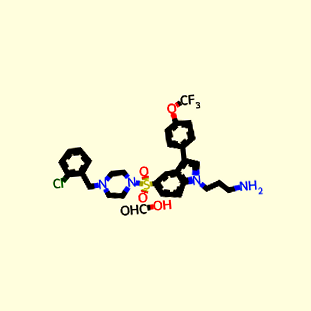 NCCCn1cc(-c2ccc(OC(F)(F)F)cc2)c2cc(S(=O)(=O)N3CCN(Cc4ccccc4Cl)CC3)ccc21.O=CO